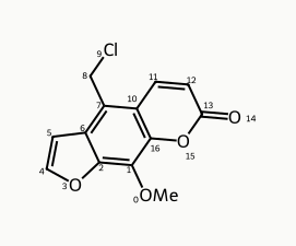 COc1c2occc2c(CCl)c2ccc(=O)oc12